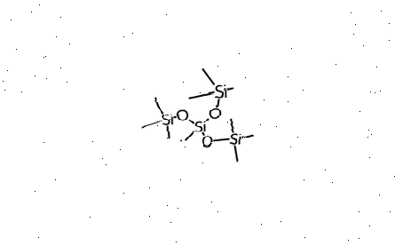 [CH2][Si](O[Si](C)(C)C)(O[Si](C)(C)C)O[Si](C)(C)C